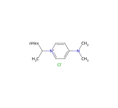 CCCCCCC(C)[n+]1ccc(N(C)C)cc1.[Cl-]